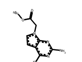 CCCCOC(=O)Cn1ccc2c(Cl)nc(N)nc21